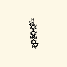 O=S(=O)(c1ccc2ncccc2c1)N1CCC(c2cc3cc[nH]c3nn2)CC1